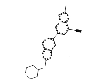 Cc1cn2cc(-c3cc4sc(OC5CCNCC5)nc4cn3)cc(C#N)c2n1.Cl